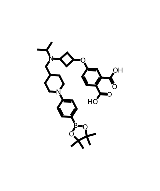 CC(C)N(CC1CCN(c2ccc(B3OC(C)(C)C(C)(C)O3)cc2)CC1)C1CC(Oc2ccc(C(=O)O)c(C(=O)O)c2)C1